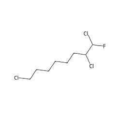 FC(Cl)C(Cl)CCCCCCCl